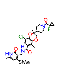 CSc1cc(C)[nH]c(=O)c1CNC(=O)c1cc(Cl)c2c(c1C)OCC(C)(C1CCN(C(=O)C3(F)CC3)CC1)O2